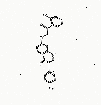 O=C(COc1ccc2c(=O)c(-c3ccc(O)cc3)coc2c1)c1ccccc1C(F)(F)F